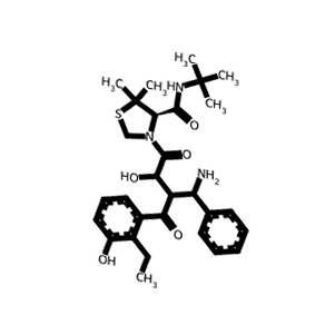 CCc1c(O)cccc1C(=O)C(C(O)C(=O)N1CSC(C)(C)[C@H]1C(=O)NC(C)(C)C)C(N)c1ccccc1